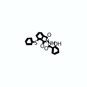 O=C(NN1C(=O)c2cccc(Sc3ccccc3)c2C1=O)c1ccccc1O